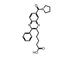 O=C(O)CCCCc1nc2cc(C(=O)N3CCCC3)ccc2nc1-c1ccccc1